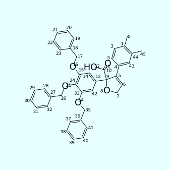 Cc1ccc(C2=CCOC2(C(=O)O)c2cc(OCc3ccccc3)c(OCc3ccccc3)c(OCc3ccccc3)c2)cc1C